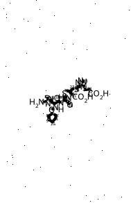 Nc1nc(C(=NOC2C=CCCC2)C(=O)NC2C(=O)N3C(C(=O)O)=C(CSc4nnnn4CCC(=O)O)CS[C@@H]23)ns1